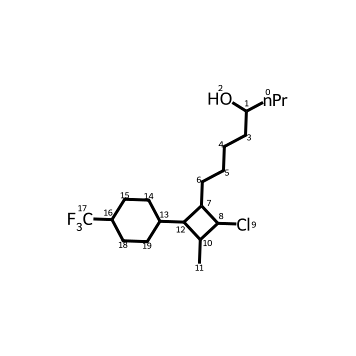 CCCC(O)CCCCC1C(Cl)C(C)C1C1CCC(C(F)(F)F)CC1